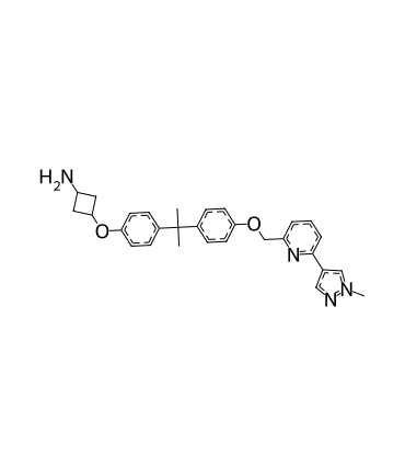 Cn1cc(-c2cccc(COc3ccc(C(C)(C)c4ccc(OC5CC(N)C5)cc4)cc3)n2)cn1